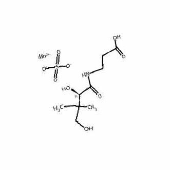 CC(C)(CO)[C@@H](O)C(=O)NCCC(=O)O.O=S(=O)([O-])[O-].[Mn+2]